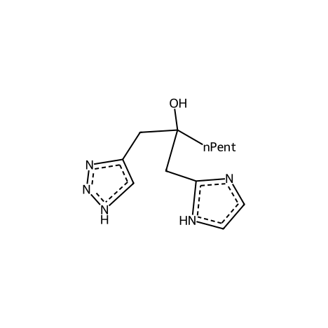 CCCCCC(O)(Cc1c[nH]nn1)Cc1ncc[nH]1